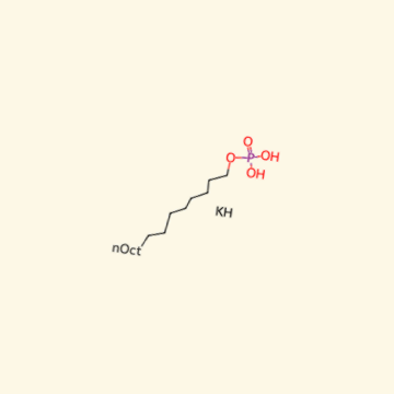 CCCCCCCCCCCCCCCCOP(=O)(O)O.[KH]